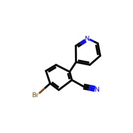 N#Cc1cc(Br)ccc1-c1cccnc1